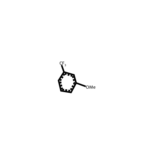 [CH2-][OH+]c1cccc(C(F)(F)F)c1